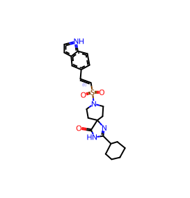 O=C1NC(C2CCCCC2)=NC12CCN(S(=O)(=O)/C=C/c1ccc3[nH]ccc3c1)CC2